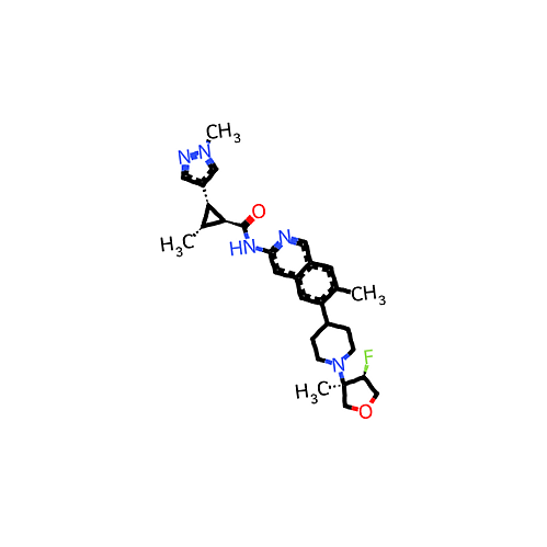 Cc1cc2cnc(NC(=O)[C@H]3[C@H](C)[C@@H]3c3cnn(C)c3)cc2cc1C1CCN([C@]2(C)COC[C@@H]2F)CC1